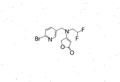 O=C1C=C(N(Cc2ccc(Br)nc2)CC(F)F)CO1